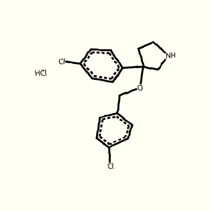 Cl.Clc1ccc(COC2(c3ccc(Cl)cc3)CCNC2)cc1